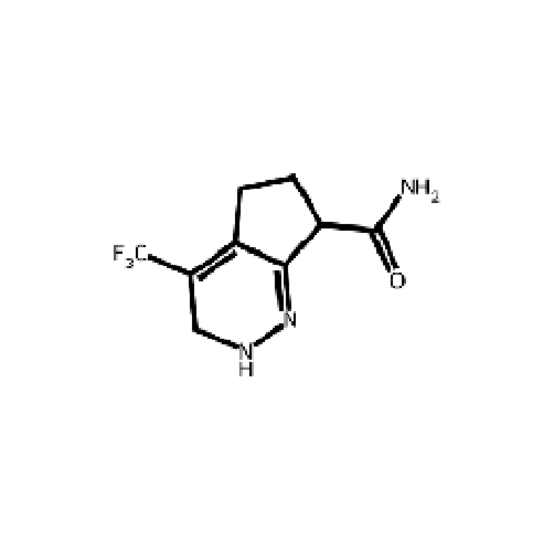 NC(=O)C1CCC2=C(C(F)(F)F)CNN=C21